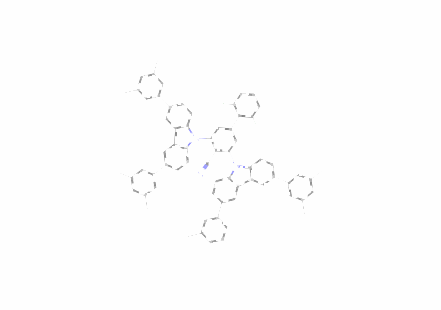 Cc1cc(C)cc(-c2ccc3c(c2)c2cc(-c4cc(C)cc(C)c4)ccc2n3-c2cc(-c3c(F)cccc3F)cc(-n3c4ccc(-c5cc(C)cc(C)c5)cc4c4cc(-c5cc(C)cc(C)c5)ccc43)c2C#N)c1